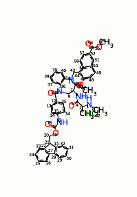 CNC(C)C(=O)NC1CN(C(=O)c2ccc(NC(=O)OCC3c4ccccc4-c4ccccc43)cc2)c2ccccc2N(Cc2c(OC)ccc3cc(C(=O)OC)ccc23)C1=O.Cl